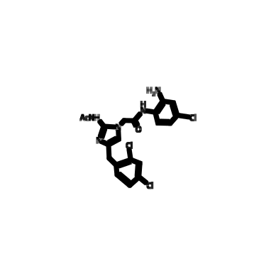 CC(=O)Nc1nc(Cc2ccc(Cl)cc2Cl)cn1CC(=O)Nc1ccc(Cl)cc1N